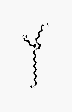 CCCCCCCCCCC[n+]1ccn(CCCCCC)c1CCCC